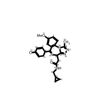 COc1ccc2c(c1)C(C1C=CC(Cl)=CC1)=NC(CC(=O)NCC1CC1)c1nnc(C)n1-2